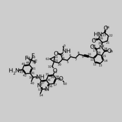 CNC(=O)C(CCCCC#Cc1cccc2c1C(=O)N(C1CCC(=O)NC1=O)C2=O)CC1(COc2cc3c(NC(C)c4cc(N)cc(C(F)(F)F)c4)nc(C)nc3cc2OC)CC1